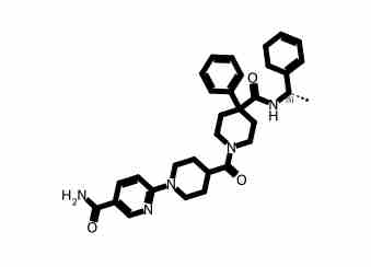 C[C@H](NC(=O)C1(c2ccccc2)CCN(C(=O)C2CCN(c3ccc(C(N)=O)cn3)CC2)CC1)C1=CC=CCC1